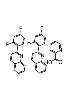 Fc1ccc(-c2ccc3ccccc3n2)c(F)c1.Fc1ccc(-c2ccc3ccccc3n2)c(F)c1.O=C(O)c1ccccn1